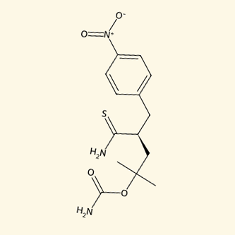 CC(C)(C[C@H](Cc1ccc([N+](=O)[O-])cc1)C(N)=S)OC(N)=O